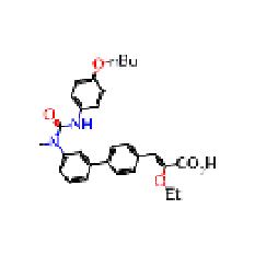 CCCCOc1ccc(NC(=O)N(C)c2cccc(-c3ccc(C=C(OCC)C(=O)O)cc3)c2)cc1